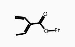 C=CC(=CC)C(=O)OCC